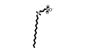 CCCCCCCCCCCCCC[N+](C)(C)CCCS(=O)(=O)[O-]